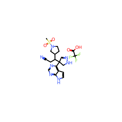 CS(=O)(=O)N1CCC(C(CC#N)C2(c3ncnc4[nH]ccc34)C=NNC2)C1.O=C(O)C(F)(F)F